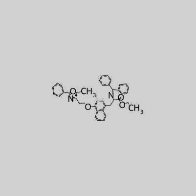 CCOC(=O)C(Cc1ccc(OCCc2nc(-c3ccccc3)oc2C)c2ccccc12)N=C(c1ccccc1)c1ccccc1